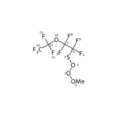 COOOSC(F)(F)C(F)(F)OC(F)(F)C(F)(F)F